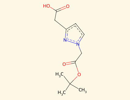 CC(C)(C)OC(=O)Cn1ccc(CC(=O)O)n1